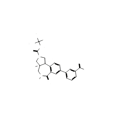 CC(=O)c1cccc(-c2ccc3c(c2)C(=O)N(C)C[C@@H]2CN(C(=O)OC(C)(C)C)C[C@@H]32)c1